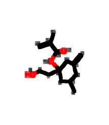 C=C1CC(C)CC(CCO)(OC(=O)C(=C)C)C1